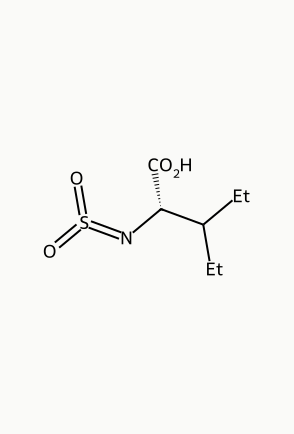 CCC(CC)[C@H](N=S(=O)=O)C(=O)O